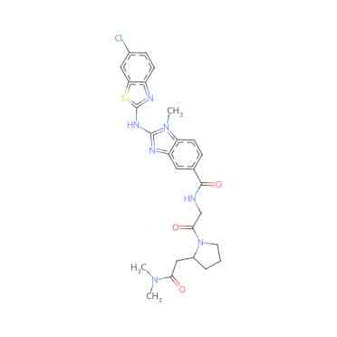 CN(C)C(=O)CC1CCCN1C(=O)CNC(=O)c1ccc2c(c1)nc(Nc1nc3ccc(Cl)cc3s1)n2C